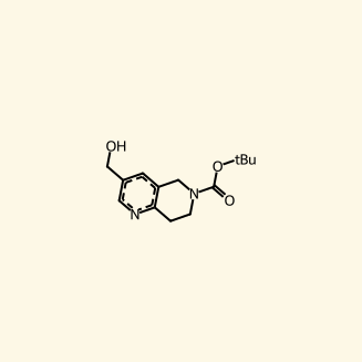 CC(C)(C)OC(=O)N1CCc2ncc(CO)cc2C1